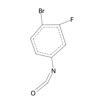 O=C=Nc1ccc(Br)c(F)c1